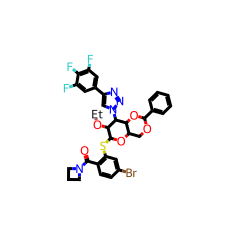 CCOC1C(Sc2cc(Br)ccc2C(=O)N2CCC2)OC2COC(c3ccccc3)OC2C1n1cc(-c2cc(F)c(F)c(F)c2)nn1